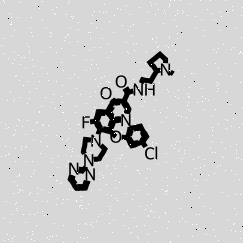 CN1CCCC1CCNC(=O)c1cn2c3c(c(N4CCN(c5ncccn5)CC4)c(F)cc3c1=O)Oc1cc(Cl)ccc1-2